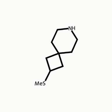 CSC1CC2(CCNCC2)C1